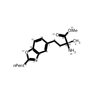 CCCCCc1nc2cc(CC[C@@](C)(N)C(=O)OC)ccc2o1